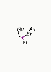 CCP(CC)CC(C)(C)C.[Au]